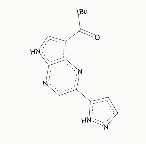 CC(C)(C)C(=O)c1c[nH]c2ncc(-c3ccn[nH]3)nc12